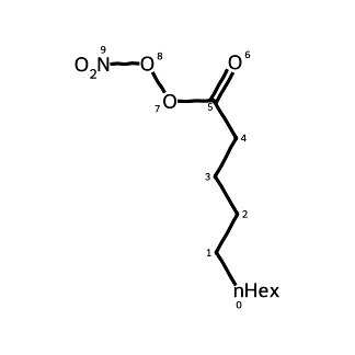 CCCCCCCCCCC(=O)OO[N+](=O)[O-]